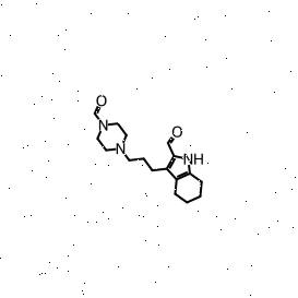 O=Cc1[nH]c2c(c1CCCN1CCN(C=O)CC1)CCCC2